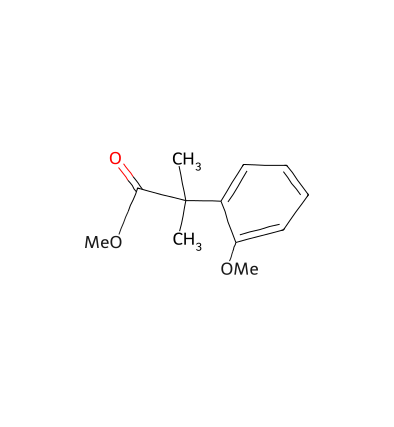 COC(=O)C(C)(C)c1ccccc1OC